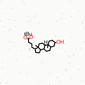 C[C@H](CCC(=O)OC(C)(C)C)C1CCC2C3CCC4CC(O)CCC4(C)[C@H]3CCC21C